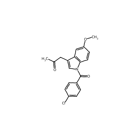 COc1ccc2c(c1)c(CC(C)=O)cn2C(=O)c1ccc(Cl)cc1